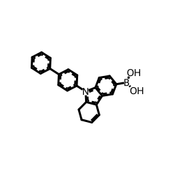 OB(O)c1ccc2c(c1)c1c(n2-c2ccc(-c3ccccc3)cc2)CCC=C1